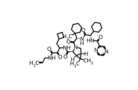 C=CCNC(=O)C(=O)C(CC1CCC1)NC(=O)[C@@H]1[C@@H]2[C@H](CN1C(=O)[C@@H](NC(=O)[C@@H](NC(=O)c1cnccn1)C1CCCCC1)C1(C)CCCCC1)C2(C)C